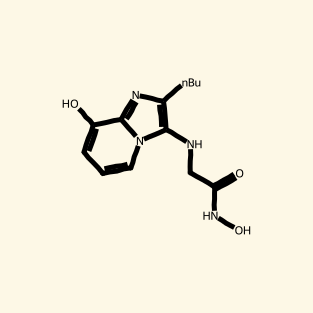 CCCCc1nc2c(O)cccn2c1NCC(=O)NO